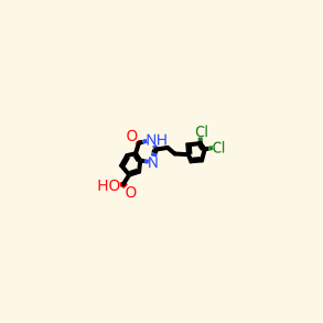 O=C(O)c1ccc2c(=O)[nH]c(CCc3ccc(Cl)c(Cl)c3)nc2c1